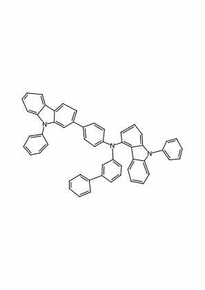 c1ccc(-c2cccc(N(c3ccc(-c4ccc5c6ccccc6n(-c6ccccc6)c5c4)cc3)c3cccc4c3c3ccccc3n4-c3ccccc3)c2)cc1